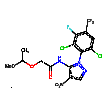 COC(C)OCC(=O)Nc1c([N+](=O)[O-])cnn1-c1c(Cl)cc(C(F)(F)F)c(F)c1Cl